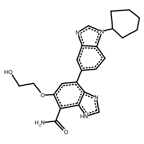 NC(=O)c1c(OCCO)cc(-c2ccc3c(c2)ncn3C2CCCCC2)c2nc[nH]c12